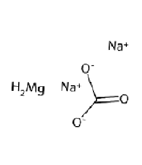 O=C([O-])[O-].[MgH2].[Na+].[Na+]